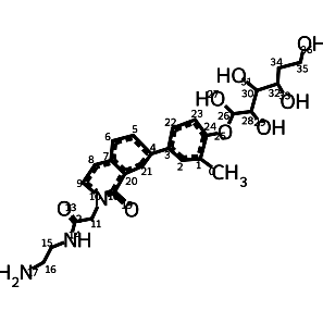 Cc1cc(-c2ccc3ccn(CC(=O)NCCN)c(=O)c3c2)ccc1OC(O)C(O)C(O)C(O)CCO